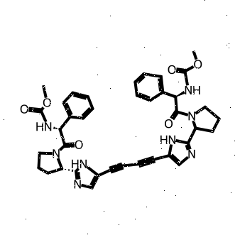 COC(=O)N[C@@H](C(=O)N1CCCC1c1ncc(C#CC#Cc2cnc([C@@H]3CCCN3C(=O)[C@H](NC(=O)OC)c3ccccc3)[nH]2)[nH]1)c1ccccc1